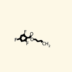 C=CCCOC(=O)c1c(F)cc(F)cc1F